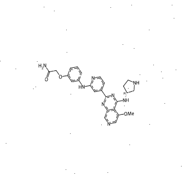 COc1cncc2nc(-c3ccnc(Nc4cccc(OCC(N)=O)c4)c3)nc(N[C@@H]3CCNC3)c12